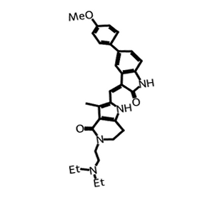 CCN(CC)CCN1CCc2[nH]c(C=C3C(=O)Nc4ccc(-c5ccc(OC)cc5)cc43)c(C)c2C1=O